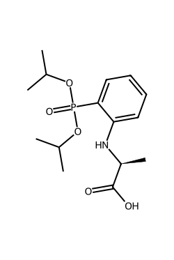 CC(C)OP(=O)(OC(C)C)c1ccccc1N[C@@H](C)C(=O)O